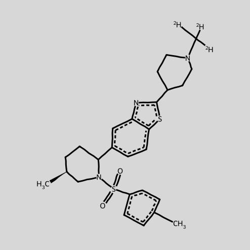 [2H]C([2H])([2H])N1CCC(c2nc3cc(C4CC[C@H](C)CN4S(=O)(=O)c4ccc(C)cc4)ccc3s2)CC1